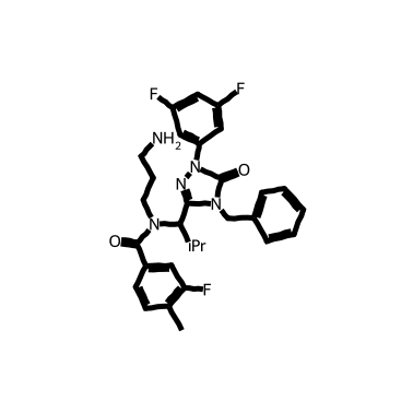 Cc1ccc(C(=O)N(CCCN)C(c2nn(-c3cc(F)cc(F)c3)c(=O)n2Cc2ccccc2)C(C)C)cc1F